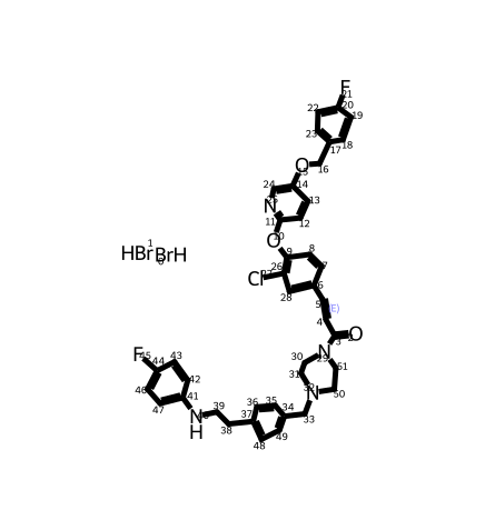 Br.Br.O=C(/C=C/c1ccc(Oc2ccc(OCc3ccc(F)cc3)cn2)c(Cl)c1)N1CCN(Cc2ccc(CCNc3ccc(F)cc3)cc2)CC1